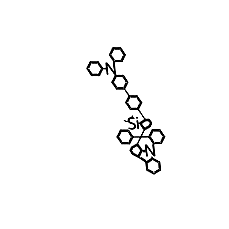 C[Si]1(C)c2ccccc2C2(c3ccccc3-n3c4ccccc4c4cccc2c43)c2cccc(-c3ccc(-c4ccc(N(c5ccccc5)c5ccccc5)cc4)cc3)c21